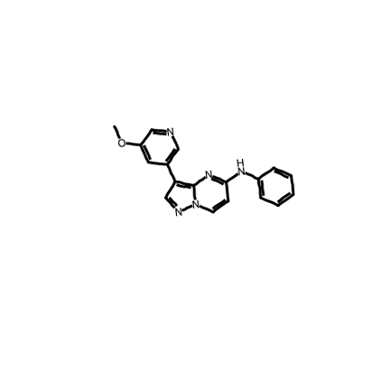 COc1cncc(-c2cnn3ccc(Nc4ccccc4)nc23)c1